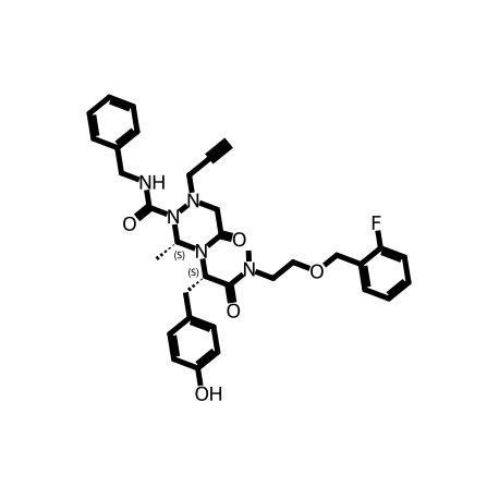 C#CCN1CC(=O)N([C@@H](Cc2ccc(O)cc2)C(=O)N(C)CCOCc2ccccc2F)[C@H](C)N1C(=O)NCc1ccccc1